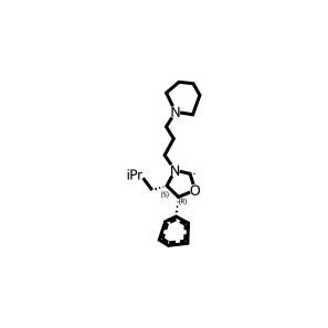 CC(C)C[C@H]1[C@@H](c2ccccc2)O[CH]N1CCCN1CCCCC1